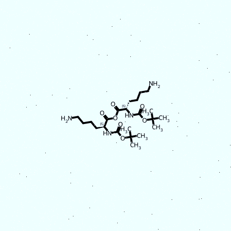 CC(C)(C)OC(=O)N[C@@H](CCCCN)C(=O)OC(=O)[C@H](CCCCN)NC(=O)OC(C)(C)C